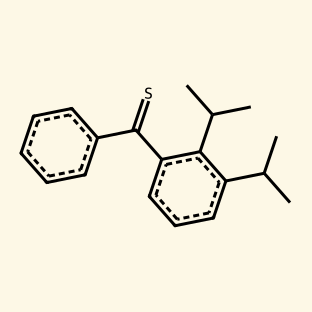 CC(C)c1cccc(C(=S)c2ccccc2)c1C(C)C